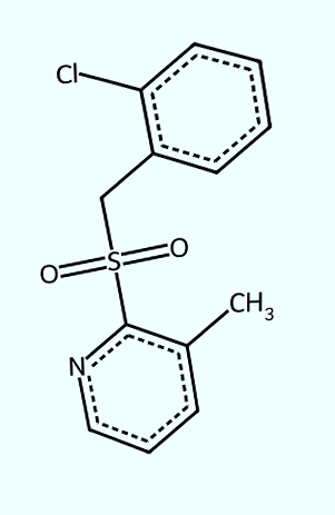 Cc1cccnc1S(=O)(=O)Cc1ccccc1Cl